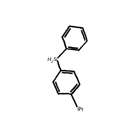 CC(C)c1ccc([SiH2]c2ccccc2)cc1